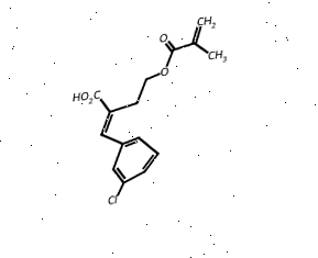 C=C(C)C(=O)OCCC(=Cc1cccc(Cl)c1)C(=O)O